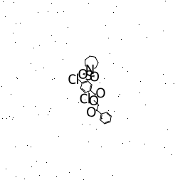 O=C(COC(=O)c1cc(S(=O)(=O)N2CCCCCC2)c(Cl)cc1Cl)c1ccccc1